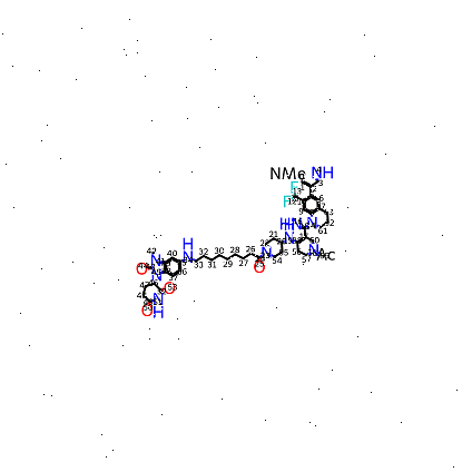 CN/C=C(\C=N)c1cc2c(cc1C(F)F)N(C(=N)C1=C(NC3CCN(C(=O)CCCCCCCCNc4ccc5c(c4)n(C)c(=O)n5C4CCC(=O)NC4=O)CC3)CCN(C(C)=O)C1)CCC2